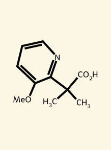 COc1cccnc1C(C)(C)C(=O)O